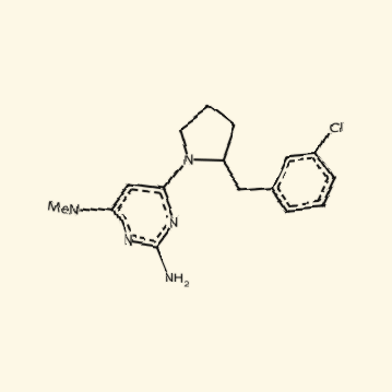 CNc1cc(N2CCCC2Cc2cccc(Cl)c2)nc(N)n1